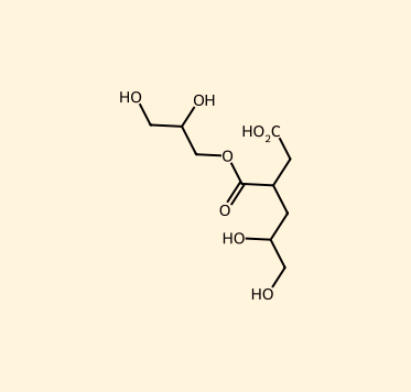 O=C(O)CC(CC(O)CO)C(=O)OCC(O)CO